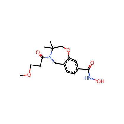 COCCC(=O)N1Cc2ccc(C(=O)NO)cc2OCC1(C)C